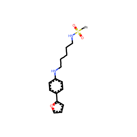 CC(C)S(=O)(=O)NCCCCCNc1ccc(-c2ccco2)cc1